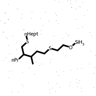 CCCCCCCSCC(CCC)C(C)CCSCCO[SiH3]